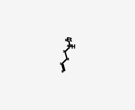 C=CCCPCC